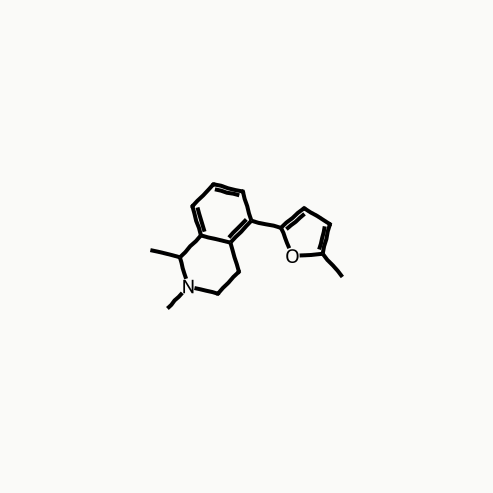 Cc1ccc(-c2cccc3c2CCN(C)C3C)o1